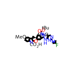 COc1ccc2c(c1)[C@]1(C[C@H]1c1ccc3c(Nc4nc(N5CC(F)C5)ncc4OC)nn(C(=O)OC(C)(C)C)c3c1)C(=O)N2C(=O)O